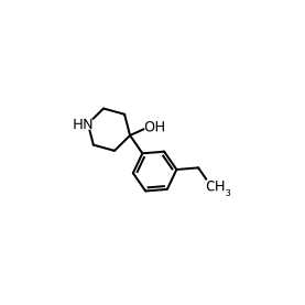 CCc1cccc(C2(O)CCNCC2)c1